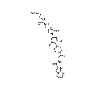 COCCOC(=O)NC[C@H]1CN(c2cc(F)c(N3CCN(C(=O)CNC(=O)c4cn5cccnc5n4)CC3)c(F)c2)C(=O)O1